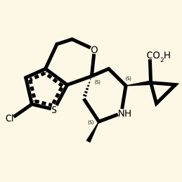 C[C@H]1C[C@@]2(C[C@@H](C3(C(=O)O)CC3)N1)OCCc1cc(Cl)sc12